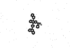 c1ccc([SiH2]c2ccc3c(-c4ccc5ccccc5c4)c4ccccc4c(-c4ccc(-c5cc6ccccc6c6ccccc56)cc4)c3c2)cc1